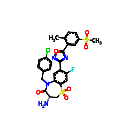 Cc1ccc(S(C)(=O)=O)cc1-c1nc(-c2cc3c(cc2F)S(=O)(=O)C[C@H](N)C(=O)N3Cc2ccc(Cl)cc2)no1